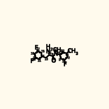 Cc1cc(F)cc(N(C)C(=O)[C@@H](N)Cc2cc(F)cc(F)c2)c1